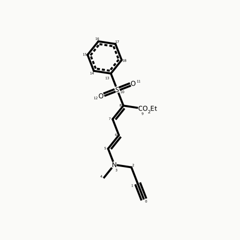 C#CCN(C)C=CC=C(C(=O)OCC)S(=O)(=O)c1ccccc1